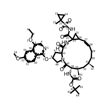 CCOc1cnc(O[C@@H]2C[C@H]3C(=O)NC4(C(=O)NS(=O)(=O)C5(C)CC5)CC4/C=C\CC[C@@H](C)C[C@@H](C)[C@H](NC(=O)OC(C)(C)C)C(=O)N3C2)c2ccc(OC)cc12